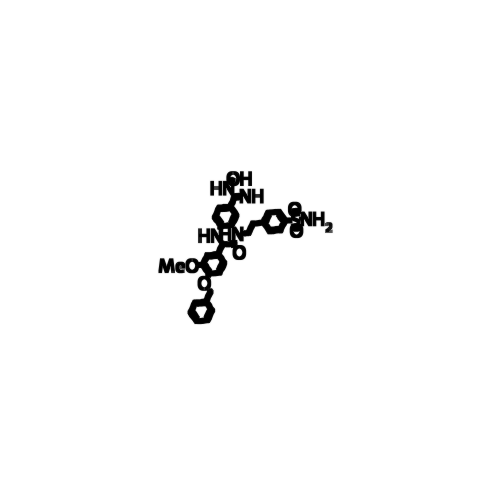 COc1cc(C(Nc2ccc(C(=N)NO)cc2)C(=O)NCCc2ccc(S(N)(=O)=O)cc2)ccc1OCc1ccccc1